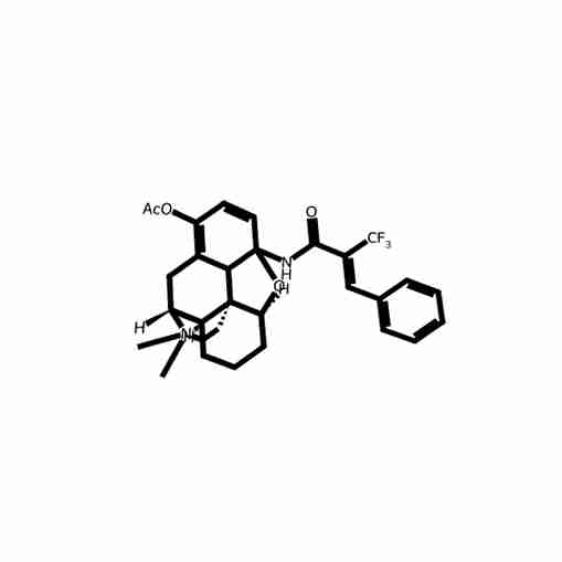 CC(=O)OC1=C2C[C@@H]3[C@@H]4CCC[C@@H]5OC(NC(=O)C(=Cc6ccccc6)C(F)(F)F)(C=C1)C2[C@@]54CC[N+]3(C)C